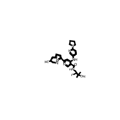 CC(C)(O)C(F)CNC(=O)c1cnc(-c2ccc3cc(C#N)cnn23)cc1Nc1ccc(N2CCCC2)nc1